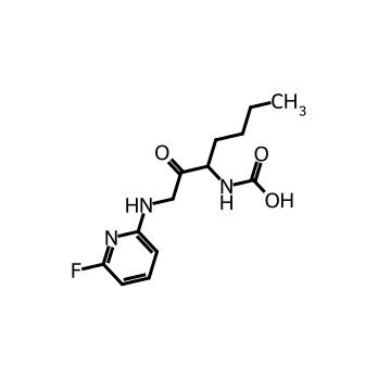 CCCCC(NC(=O)O)C(=O)CNc1cccc(F)n1